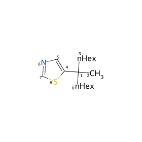 CCCCCCC(C)(CCCCCC)c1cncs1